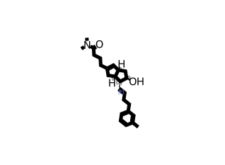 Cc1cccc(CC/C=C/[C@@H]2[C@H]3CC(CCCC(=O)N(C)C)=C[C@H]3C[C@H]2O)c1